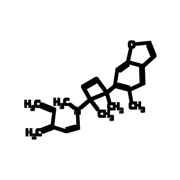 C=CC(=C)/C=C\N(C)C1(C)C=CC1(C)c1cc2occc2cc1C